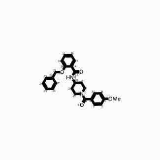 COc1ccc(C(=O)N2CCC(NC(=O)c3ccccc3OCc3ccccc3)CC2)cc1